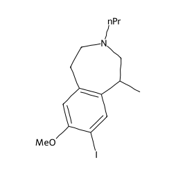 CCCN1CCc2cc(OC)c(I)cc2C(C)C1